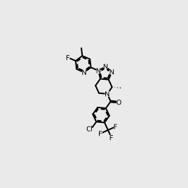 Cc1cc(-n2nnc3c2CCN(C(=O)c2ccc(Cl)c(C(F)(F)F)c2)[C@H]3C)ncc1F